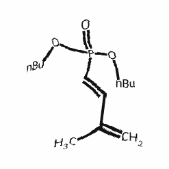 C=C(C)C=CP(=O)(OCCCC)OCCCC